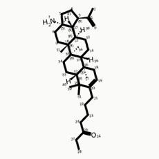 C=C(C)[C@@H]1CC[C@]2(N)CC[C@]3(C)[C@H](CC[C@@H]4[C@@]5(C)CC=C(CCCCC(=O)CC)C(C)(C)[C@@H]5CC[C@]43C)[C@@H]12